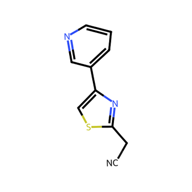 N#CCc1nc(-c2cccnc2)cs1